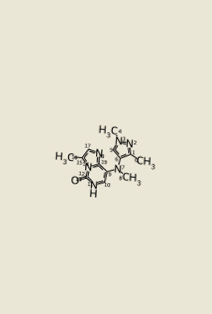 Cc1nn(C)cc1N(C)c1c[nH]c(=O)n2c(C)cnc12